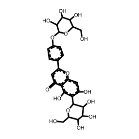 O=c1cc(-c2ccc(OC3OC(CO)C(O)C(O)C3O)cc2)oc2cc(O)c(C3OC(CO)C(O)C(O)C3O)c(O)c12